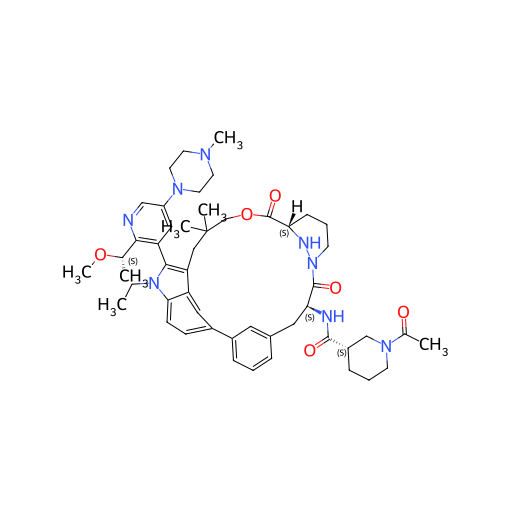 CCn1c(-c2cc(N3CCN(C)CC3)cnc2[C@H](C)OC)c2c3cc(ccc31)-c1cccc(c1)C[C@H](NC(=O)[C@H]1CCCN(C(C)=O)C1)C(=O)N1CCC[C@H](N1)C(=O)OCC(C)(C)C2